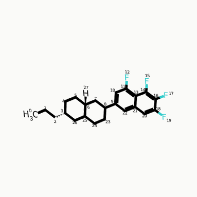 CCC[C@@H]1CC[C@@H]2CC(c3cc(F)c4c(F)c(F)c(F)cc4c3)CCC2C1